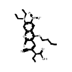 [CH2]CC(C(=O)O)C(C#N)=Cc1c(SCCCC)c2cc([N+](=O)[O-])c(N(CC)CC)cc2oc1=O